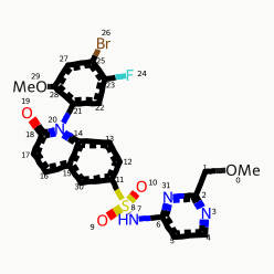 COCc1nccc(NS(=O)(=O)c2ccc3c(ccc(=O)n3-c3cc(F)c(Br)cc3OC)c2)n1